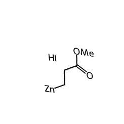 COC(=O)C[CH2][Zn].I